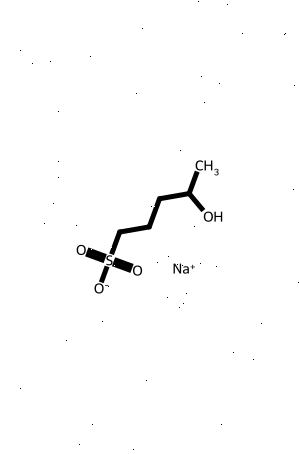 CC(O)CCCS(=O)(=O)[O-].[Na+]